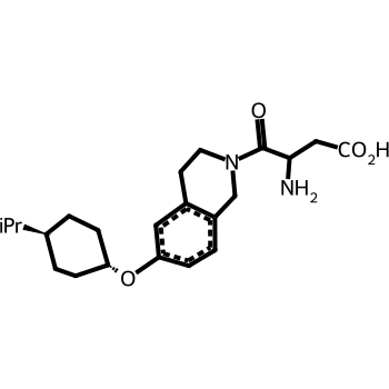 CC(C)[C@H]1CC[C@H](Oc2ccc3c(c2)CCN(C(=O)C(N)CC(=O)O)C3)CC1